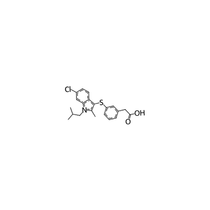 Cc1c(Sc2cccc(CC(=O)O)c2)c2ccc(Cl)cc2n1CC(C)C